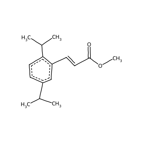 COC(=O)C=Cc1cc(C(C)C)ccc1C(C)C